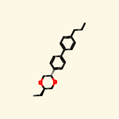 CCCc1ccc(-c2ccc([C@H]3CO[C@H](CC)CO3)cc2)cc1